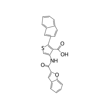 O=C(Nc1csc(-c2ccc3ccccc3c2)c1C(=O)O)c1cc2ccccc2o1